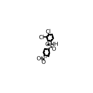 O=[N+]([O-])c1ccc(S(=O)(=O)Nc2ccc(Cl)c(Cl)c2)cc1